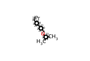 Cc1cc(C)cc(OCc2ccc(-c3ccc(CC(C)C)cc3)cc2)c1